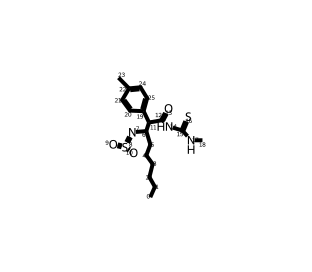 CCCCCCC(N=S(=O)=O)C(C(=O)NC(=S)NC)c1ccc(C)cc1